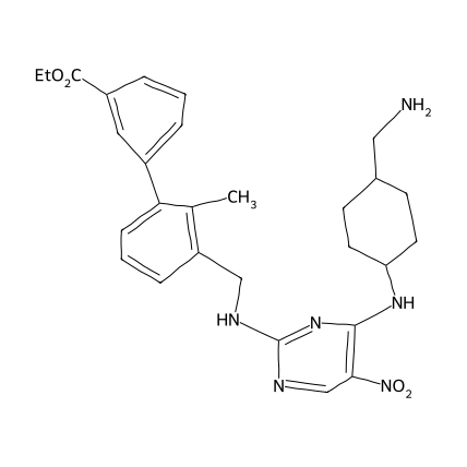 CCOC(=O)c1cccc(-c2cccc(CNc3ncc([N+](=O)[O-])c(NC4CCC(CN)CC4)n3)c2C)c1